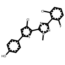 Cn1nc(-c2c(F)cccc2Cl)nc1-c1sc(-c2ccc(O)cc2)cc1Cl